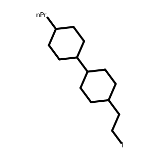 CCCC1CCC(C2CCC(CCI)CC2)CC1